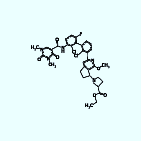 CCOC(=O)C1CCN(C2CCc3cc(-c4cccc(-c5c(F)ccc(NC(=O)c6cn(C)c(=O)n(C)c6=O)c5Cl)c4Cl)nc(OC)c32)C1